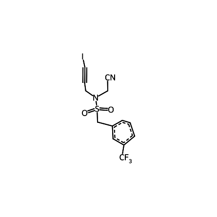 N#CCN(CC#CI)S(=O)(=O)Cc1cccc(C(F)(F)F)c1